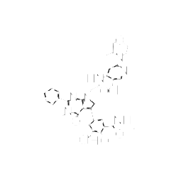 CC1COCCN1c1cc(NC(=O)Cn2cc(-c3cc(Cl)c(O)c(C(N)=O)c3)c3c(=O)n(C)c(-c4ccccc4)nc32)c(Cl)cn1